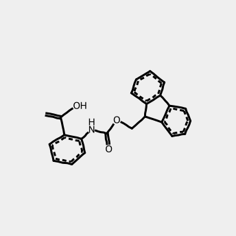 C=C(O)c1ccccc1NC(=O)OCC1c2ccccc2-c2ccccc21